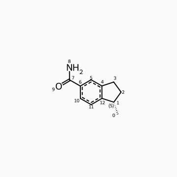 C[C@H]1CCc2cc(C(N)=O)ccc21